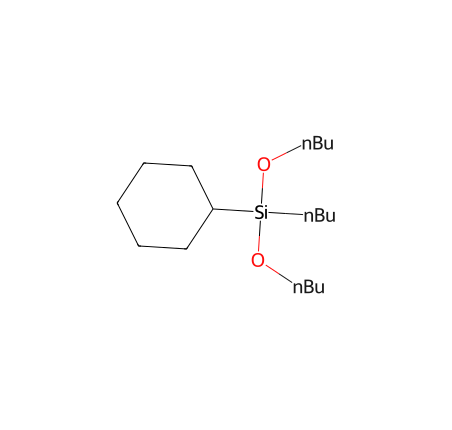 CCCCO[Si](CCCC)(OCCCC)C1CCCCC1